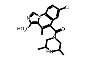 Cc1c(C(=O)N2CC(C)NC(C)C2)c2cc(Cl)ccc2n2cnc(C(=O)O)c12